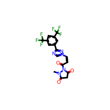 CN1C(=O)CC(=O)N1C(=O)/C=C\n1cnc(-c2cc(C(F)(F)F)cc(C(F)(F)F)c2)n1